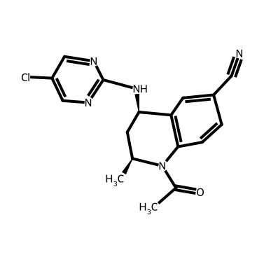 CC(=O)N1c2ccc(C#N)cc2[C@H](Nc2ncc(Cl)cn2)C[C@@H]1C